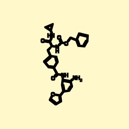 Nc1ccc(-c2ccco2)cc1NC(=O)c1ccc(C[C@H](NC(=O)OCc2ccccc2)C(=O)NC2CC2)cc1